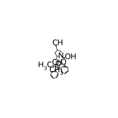 C#CC1CC(CO[Si](c2ccccc2)(c2ccccc2)C(C)(C)C)N(C(=O)O)C1